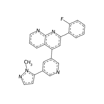 Cn1nccc1-c1cncc(-c2cc(-c3ccccc3F)nc3ncccc23)c1